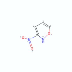 O=[N+]([O-])C1=CC=CON1